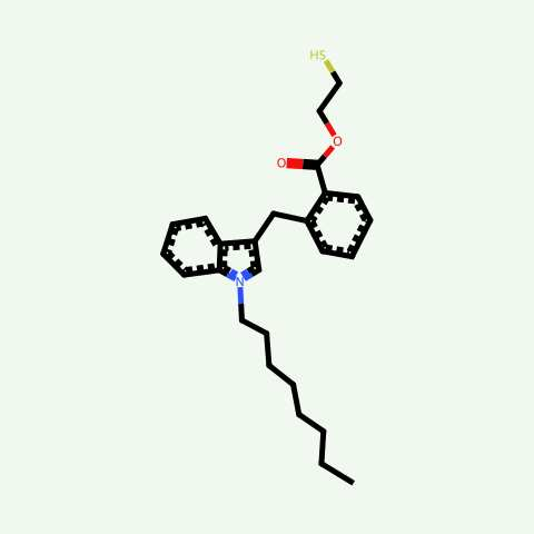 CCCCCCCCn1cc(Cc2ccccc2C(=O)OCCS)c2ccccc21